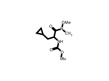 CON(C)C(=O)C(CC1CC1)NC(=O)OC(C)(C)C